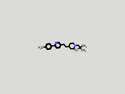 Cc1ccc(-c2ccc(CCC3CCN(CC(C)(C)C)CC3)cn2)cc1